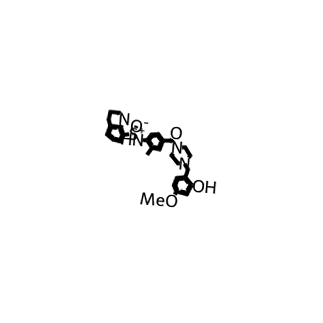 COc1ccc(CN2CCN(C(=O)c3ccc(N[S+]([O-])c4cccc5c4N=CCC5)c(C)c3)CC2)c(O)c1